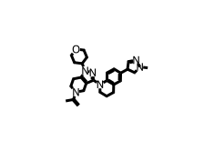 C=C(C)N1CCc2c(c(N3CCCc4cc(C5C=NN(C)C5)ccc43)nn2C2CCOCC2)C1